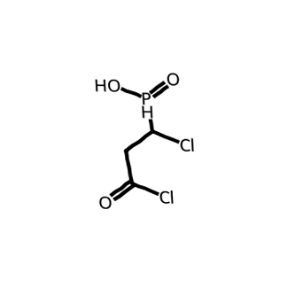 O=C(Cl)CC(Cl)[PH](=O)O